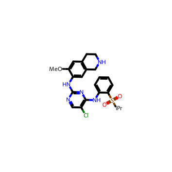 COc1cc2c(cc1Nc1ncc(Cl)c(Nc3ccccc3S(=O)(=O)C(C)C)n1)CNCC2